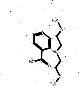 COCCNCCOC.O=C(O)c1ccccc1